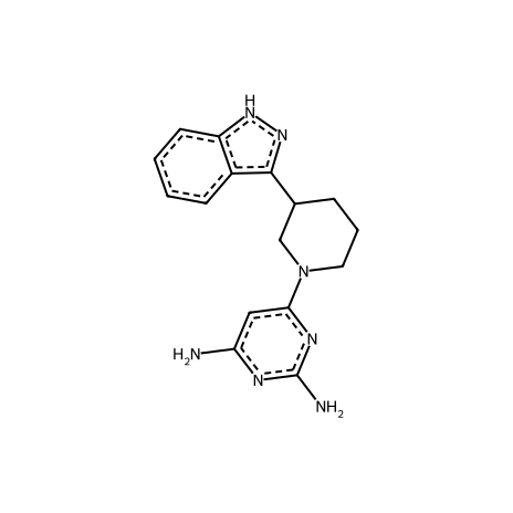 Nc1cc(N2CCCC(c3n[nH]c4ccccc34)C2)nc(N)n1